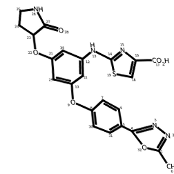 Cc1nnc(-c2ccc(Oc3cc(Nc4nc(C(=O)O)cs4)cc(OC4CCNC4=O)c3)cc2)o1